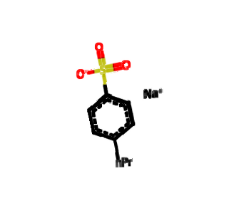 CCCc1ccc(S(=O)(=O)[O-])cc1.[Na+]